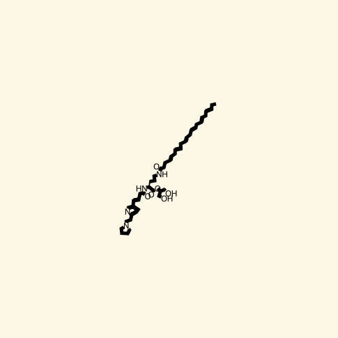 CCC=CCC=CCC=CCC=CCC=CCC=CCCC(=O)NCCC[C@H](NC(=O)CC=Cc1ccc(CCN2CCCC2)nc1)C(=O)OC(CO)CO